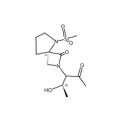 CC(=O)C([C@@H](C)O)N1C[C@@]2(CCCN2S(C)(=O)=O)C1=O